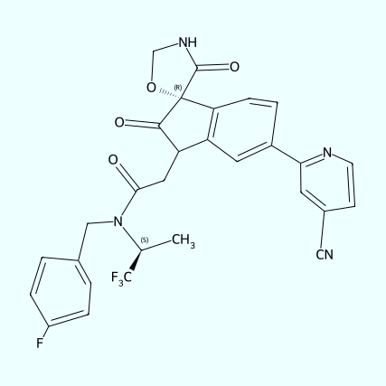 C[C@H](N(Cc1ccc(F)cc1)C(=O)CC1C(=O)[C@]2(OCNC2=O)c2ccc(-c3cc(C#N)ccn3)cc21)C(F)(F)F